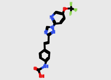 O=C(O)Nc1ccc(C=Cc2ncn(-c3ccc(OC(F)(F)F)cn3)n2)cc1